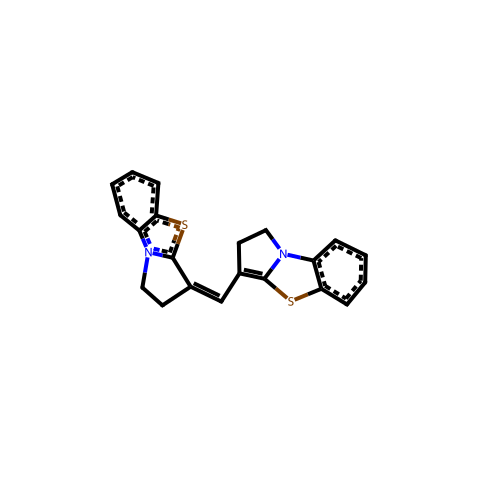 C(/C1=C2Sc3ccccc3N2CC1)=C1\CC[n+]2c1sc1ccccc12